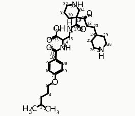 CC(C)CCCOc1ccc(C(=O)NC(CNC(=O)C2(C(=O)CCC3CCNCC3)CCCNC2)C(=O)O)cc1